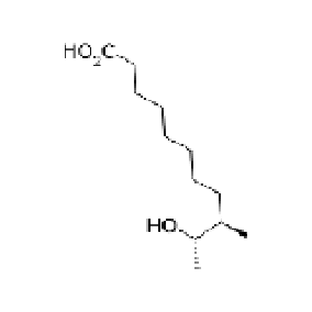 C[C@H](O)[C@H](C)CCCCCCCC(=O)O